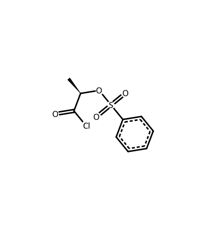 C[C@@H](OS(=O)(=O)c1ccccc1)C(=O)Cl